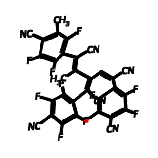 CC(=C(/C#N)c1c(F)c(C)c(C#N)c(F)c1F)/C(/C=C(/C#N)c1c(F)c(F)c(C#N)c(F)c1F)=C(/C#N)c1c(F)c(F)c(C#N)c(F)c1F